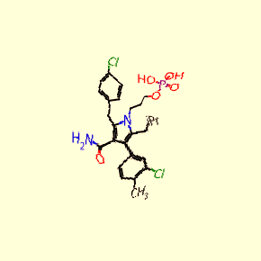 Cc1ccc(-c2c(C(N)=O)c(Cc3ccc(Cl)cc3)n(CCCOP(=O)(O)O)c2CC(C)C)cc1Cl